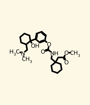 COC(=O)CC1(CNC(=O)Oc2cccc(C3(O)CCCCC3CN(C)C)c2)CCCCC1